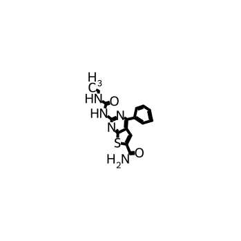 CCNC(=O)Nc1nc(-c2ccccc2)c2cc(C(N)=O)sc2n1